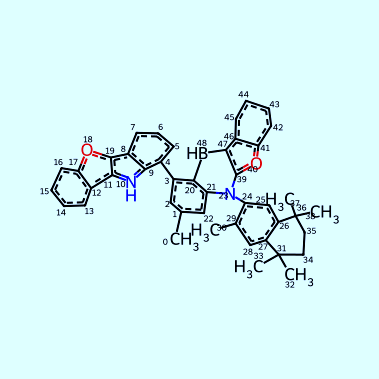 Cc1cc(-c2cccc3c2[nH]c2c4ccccc4oc32)c2c(c1)N(c1cc3c(cc1C)C(C)(C)CCC3(C)C)c1oc3ccccc3c1B2